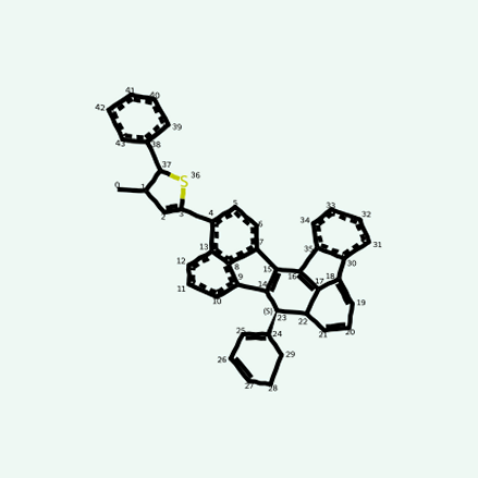 CC1C=C(c2ccc3c4c(cccc24)C2=C3C3=C4C(=CC=CC4[C@H]2C2=CC=CCC2)c2ccccc23)SC1c1ccccc1